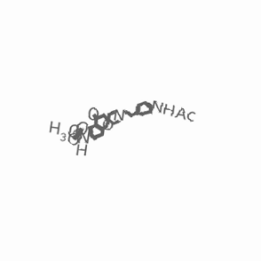 CC(=O)Nc1ccc(CCN2CCC3(CC2)CC(=O)c2cc(NS(C)(=O)=O)ccc2O3)cc1